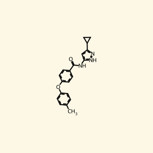 Cc1ccc(Oc2ccc(C(=O)Nc3cc(C4CC4)n[nH]3)cc2)cc1